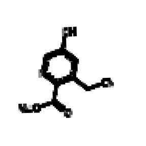 COC(=O)c1ncc(O)cc1CC#N